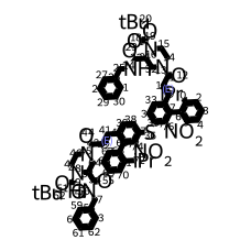 CC(C)c1ccccc1-c1c(/C=C/C(=O)N2CCN(C(=O)OC(C)(C)C)C(C(=O)NCc3ccccc3)C2)ccc(Sc2ccc(/C=C/C(=O)N3CCN(C(=O)OC(C)(C)C)C(C(=O)NCc4ccccc4)C3)c(-c3ccccc3C(C)C)c2[N+](=O)[O-])c1[N+](=O)[O-]